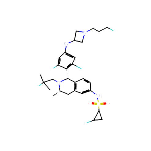 C[C@@H]1Cc2cc(NS(=O)(=O)C3CC3F)ccc2[C@@H](c2c(F)cc(NC3CN(CCCF)C3)cc2F)N1CC(C)(C)F